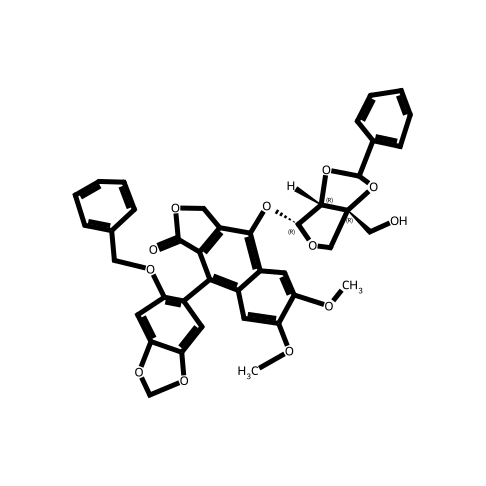 COc1cc2c(O[C@H]3OC[C@@]4(CO)OC(c5ccccc5)O[C@@H]34)c3c(c(-c4cc5c(cc4OCc4ccccc4)OCO5)c2cc1OC)C(=O)OC3